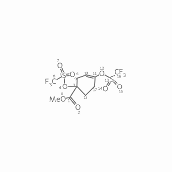 COC(=O)C1(OS(=O)(=O)C(F)(F)F)CC=C(OS(=O)(=O)C(F)(F)F)CC1